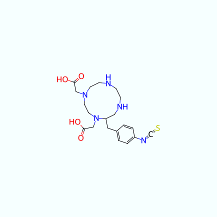 O=C(O)CN1CCNCCNCC(Cc2ccc(N=C=S)cc2)N(CC(=O)O)CC1